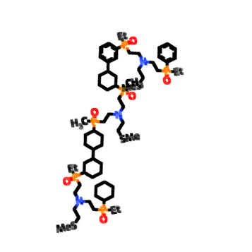 CCP(=O)(CCN(CCSC)CCP(=O)(CC)c1cccc(C2CCCC(P(C)(=O)CCN(CCSC)CCP(C)(=O)C3CCC(C4CCCC(P(=O)(CC)CCN(CCSC)CCP(=O)(CC)C5CCCCC5)C4)CC3)C2)c1)c1ccccc1